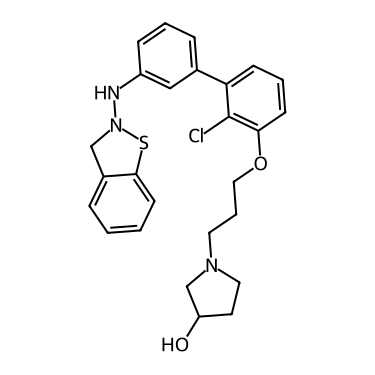 OC1CCN(CCCOc2cccc(-c3cccc(NN4Cc5ccccc5S4)c3)c2Cl)C1